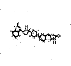 CCC(C)(NCc1cc(C)nc2ccccc12)C1CCN(c2nccc(C=C3SC(=O)NC3=O)n2)CC1